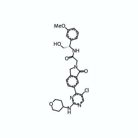 COc1cccc([C@@H](CO)NC(=O)CN2Cc3ccc(-c4nc(NC5CCOCC5)ncc4Cl)cc3C2=O)c1